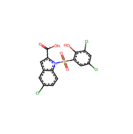 O=C(O)c1cc2cc(Cl)ccc2n1S(=O)(=O)c1cc(Cl)cc(Cl)c1O